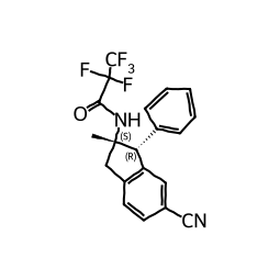 C[C@]1(NC(=O)C(F)(F)C(F)(F)F)Cc2ccc(C#N)cc2[C@H]1c1ccccc1